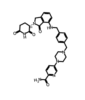 NC(=O)c1ccc(N2CCN(Cc3ccc(CNc4cccc5c4C(=O)N([C@H]4CCC(=O)NC4=O)C5)cc3)CC2)cn1